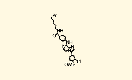 COc1ccc(-c2cnc3c(Nc4ccc(C(=O)NCCCCCC(C)C)cc4)nccn23)cc1Cl